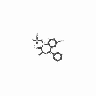 CC1N=C(c2ccccc2)c2cc(Cl)ccc2N(CS(C)(=O)=O)C1=O